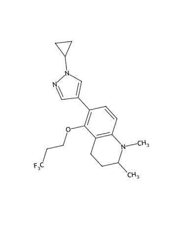 CC1CCc2c(ccc(-c3cnn(C4CC4)c3)c2OCCC(F)(F)F)N1C